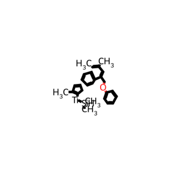 CC1=[C]([Ti][SiH](C)C)CC=C1.CC=C(C)C=C(COc1ccccc1)c1ccccc1